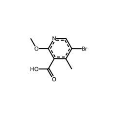 COc1ncc(Br)c(C)c1C(=O)O